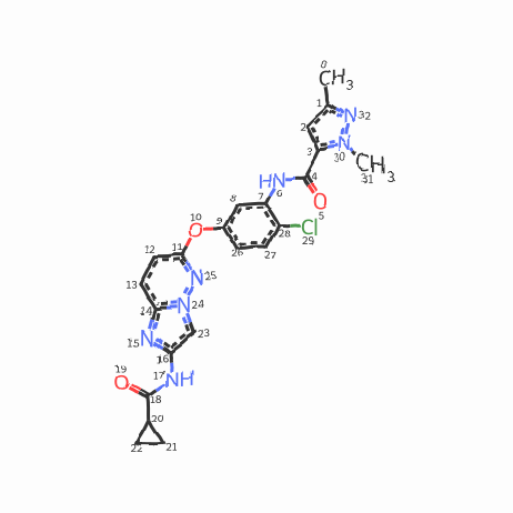 Cc1cc(C(=O)Nc2cc(Oc3ccc4nc(NC(=O)C5CC5)cn4n3)ccc2Cl)n(C)n1